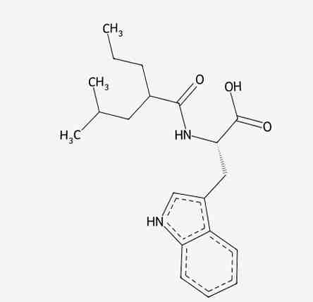 CCCC(CC(C)C)C(=O)N[C@@H](Cc1c[nH]c2ccccc12)C(=O)O